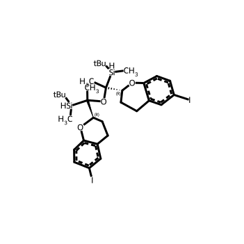 C[SiH](C(C)(C)C)C(C)(OC(C)([C@H]1CCc2cc(I)ccc2O1)[SiH](C)C(C)(C)C)[C@H]1CCc2cc(I)ccc2O1